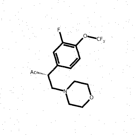 CC(=O)[C@@H](CN1CCOCC1)c1ccc(OC(F)(F)F)c(F)c1